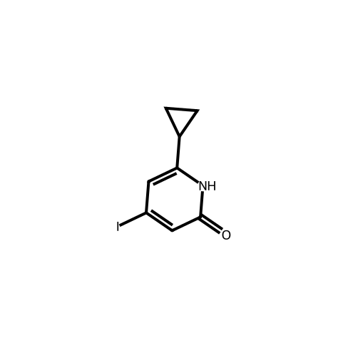 O=c1cc(I)cc(C2CC2)[nH]1